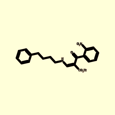 CCOC(=O)/C(=C/NCCCCc1ccccc1)C(=O)c1ccccc1[N+](=O)[O-]